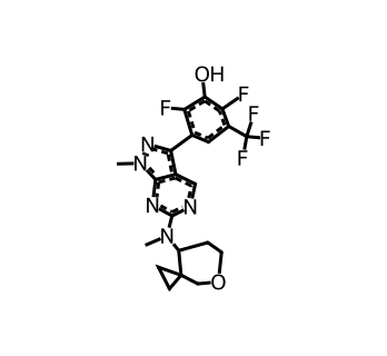 CN(c1ncc2c(-c3cc(C(F)(F)F)c(F)c(O)c3F)nn(C)c2n1)C1CCOCC12CC2